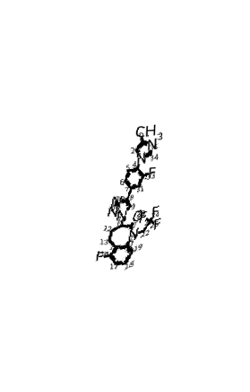 Cc1cn(-c2ccc(-c3cn([C@@H]4CCc5c(F)cccc5N(CC(F)(F)F)C4=O)nn3)cc2F)cn1